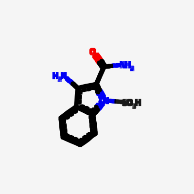 NC(=O)c1c(N)c2ccccc2n1S(=O)(=O)O